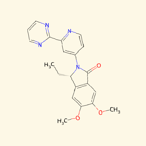 CC[C@H]1c2cc(OC)c(OC)cc2C(=O)N1c1ccnc(-c2ncccn2)c1